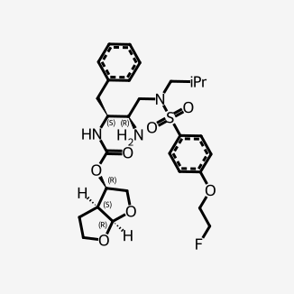 CC(C)CN(C[C@@H](N)[C@H](Cc1ccccc1)NC(=O)O[C@H]1CO[C@H]2OCC[C@H]21)S(=O)(=O)c1ccc(OCCF)cc1